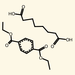 CCOC(=O)c1ccc(C(=O)OCC)cc1.O=C(O)CCCCCCC(=O)O